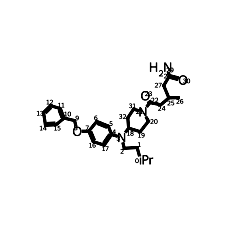 CC(C)CCN(c1ccc(OCc2ccccc2)cc1)C1CCN(C(=O)CC(C)CC(N)=O)CC1